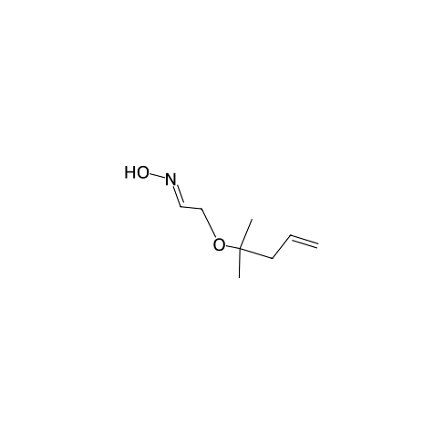 C=CCC(C)(C)OC/C=N/O